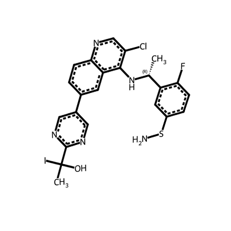 C[C@@H](Nc1c(Cl)cnc2ccc(-c3cnc(C(C)(O)I)nc3)cc12)c1cc(SN)ccc1F